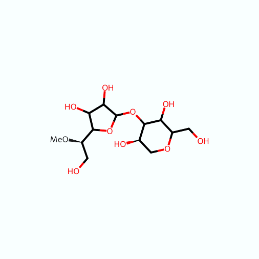 CO[C@H](CO)C1OC(OC2C(O)C(CO)OC[C@H]2O)C(O)C1O